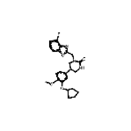 COc1ccc(C2CNC(=O)N(Cc3nc4c(F)cccc4o3)C2)cc1OC1CCCC1